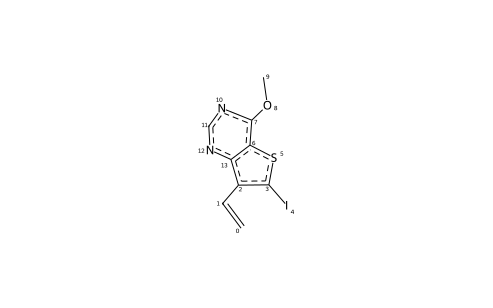 C=Cc1c(I)sc2c(OC)ncnc12